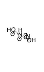 O=C(O)CCNC(=O)c1cc(O)no1